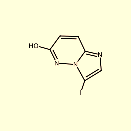 Oc1ccc2ncc(I)n2n1